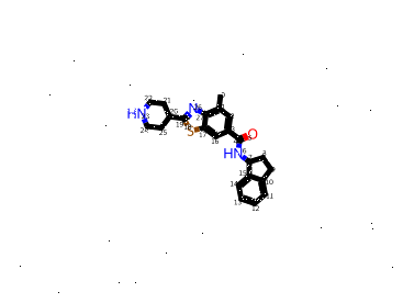 Cc1cc(C(=O)NC2CCc3ccccc32)cc2sc(C3CCNCC3)nc12